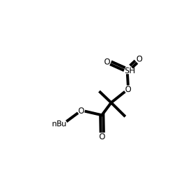 CCCCOC(=O)C(C)(C)O[SH](=O)=O